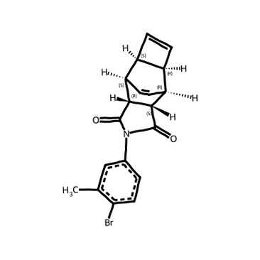 Cc1cc(N2C(=O)[C@@H]3[C@@H]4C=C[C@@H]([C@@H]5C=C[C@@H]54)[C@@H]3C2=O)ccc1Br